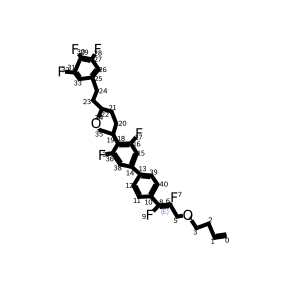 C=CCCOC/C(F)=C(\F)c1ccc(-c2cc(F)c(C3CCC(CCc4cc(F)c(F)c(F)c4)OC3)c(F)c2)cc1